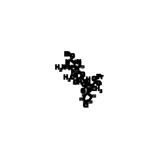 CCOc1nc(N)nc2c1ncn2[C@@H]1O[C@@H](COP(=O)(N[C@@H](C)C(=O)OC(C)C)Oc2ccc(Cl)cc2)[C@@H](O)[C@@]1(C)F